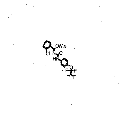 CO/C(=N\C(=O)Nc1ccc(OC(F)(F)C(F)F)cc1)c1ccccc1Cl